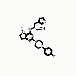 [O-][S+]1CCc2nc(N3CCN(c4ccc(Cl)cc4)CC3)nc(N[C@@H](CO)Cc3ccoc3)c21